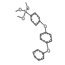 CO[Si](OC)(OC)c1ccc(Oc2ccc(Oc3ccccc3)cc2)cc1